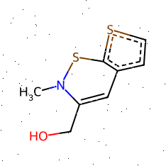 CN1Sc2sccc2C=C1CO